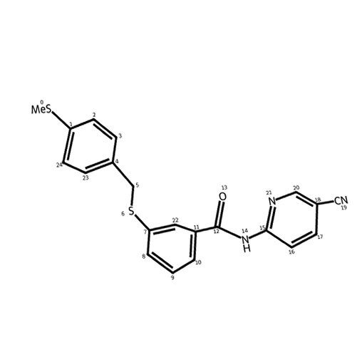 CSc1ccc(CSc2cccc(C(=O)Nc3ccc(C#N)cn3)c2)cc1